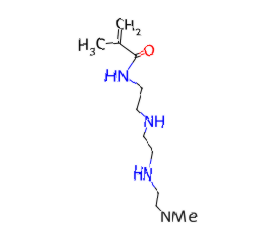 C=C(C)C(=O)NCCNCCNCCNC